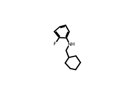 Fc1ccccc1NCC1CCCCC1